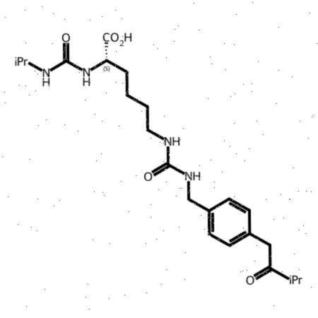 CC(C)NC(=O)N[C@@H](CCCCNC(=O)NCc1ccc(CC(=O)C(C)C)cc1)C(=O)O